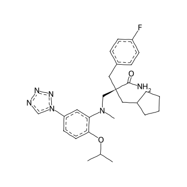 CC(C)Oc1ccc(-n2cnnn2)cc1N(C)C[C@](Cc1ccc(F)cc1)(CC1CCCC1)C(N)=O